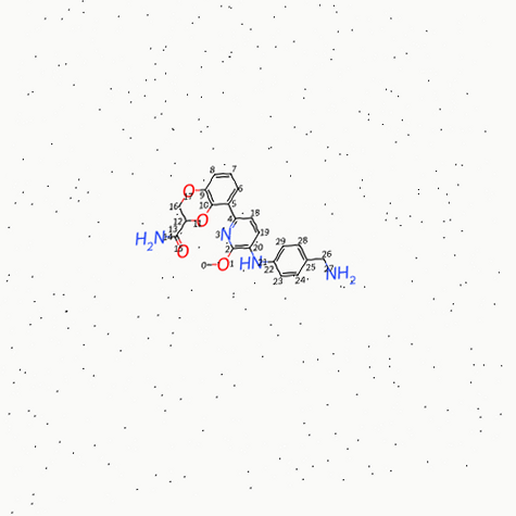 COc1nc(-c2cccc3c2OC(C(N)=O)CO3)ccc1Nc1ccc(CN)cc1